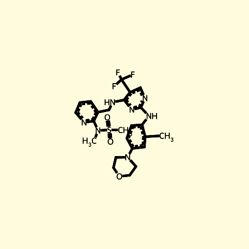 Cc1cc(N2CCOCC2)ccc1Nc1ncc(C(F)(F)F)c(NCc2cccnc2N(C)S(C)(=O)=O)n1